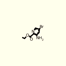 CCOC(=O)c1ncc(Br)cc1N